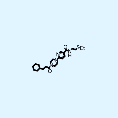 CCSCCNC(=O)c1ccc(N2CCN(C(=O)CCC3CCCCC3)CC2)nc1